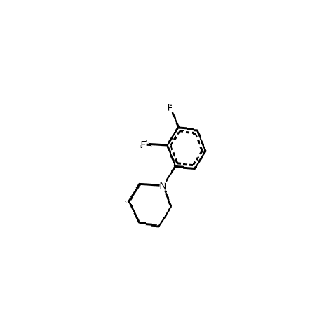 Fc1cccc(N2C[CH]CCC2)c1F